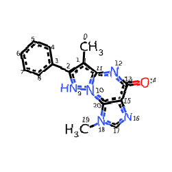 Cc1c(-c2ccccc2)[nH]n2c1nc(=O)c1ncn(C)c12